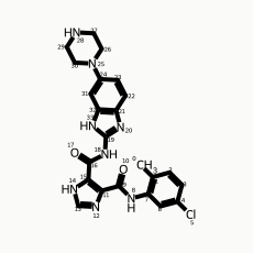 Cc1ccc(Cl)cc1NC(=O)c1nc[nH]c1C(=O)Nc1nc2ccc(N3CCNCC3)cc2[nH]1